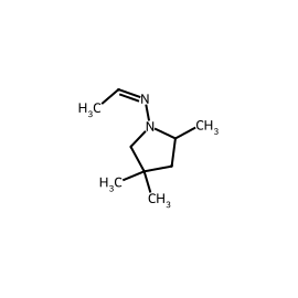 C/C=N\N1CC(C)(C)CC1C